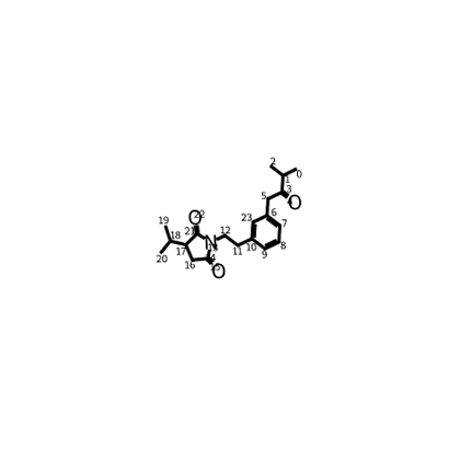 CC(C)C(=O)Cc1cccc(CCN2C(=O)CC(C(C)C)C2=O)c1